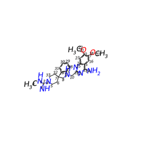 CNC(=N)N1CCC(CNCc2nc(N)c3cc(OC)c(OC)cc3n2)(c2ccccc2)CC1